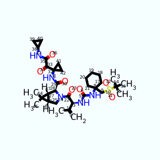 C=C(C)[C@H](NC(=O)NC1(CS(=O)(=O)C(C)(C)C)CCCCC1)C(=O)N1C[C@H]2[C@@H]([C@H]1C(=O)NC1(C(=O)C(=O)NC3CC3)CC1)C2(C)C